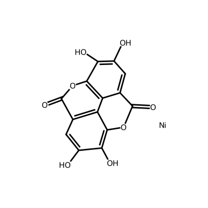 O=c1oc2c(O)c(O)cc3c(=O)oc4c(O)c(O)cc1c4c23.[Ni]